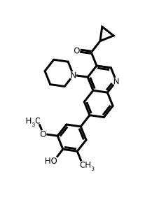 COc1cc(-c2ccc3ncc(C(=O)C4CC4)c(N4CCCCC4)c3c2)cc(C)c1O